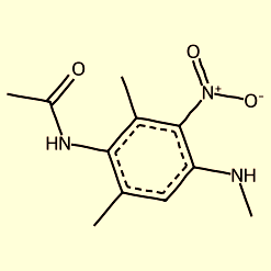 CNc1cc(C)c(NC(C)=O)c(C)c1[N+](=O)[O-]